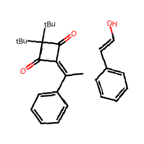 CC(=C1C(=O)C(C(C)(C)C)(C(C)(C)C)C1=O)c1ccccc1.OC=Cc1ccccc1